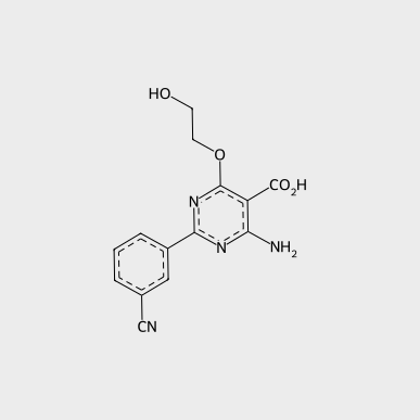 N#Cc1cccc(-c2nc(N)c(C(=O)O)c(OCCO)n2)c1